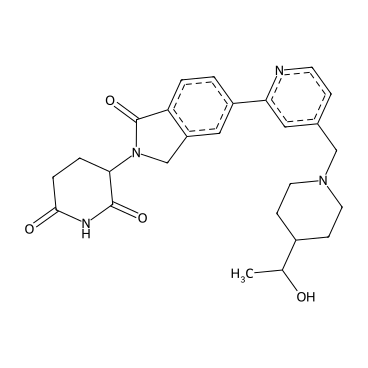 CC(O)C1CCN(Cc2ccnc(-c3ccc4c(c3)CN(C3CCC(=O)NC3=O)C4=O)c2)CC1